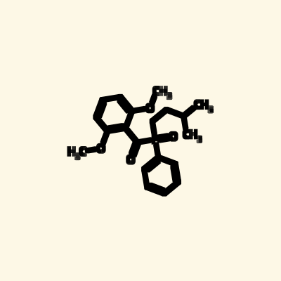 COc1cccc(OC)c1C(=O)P(=O)(CCC(C)C)c1ccccc1